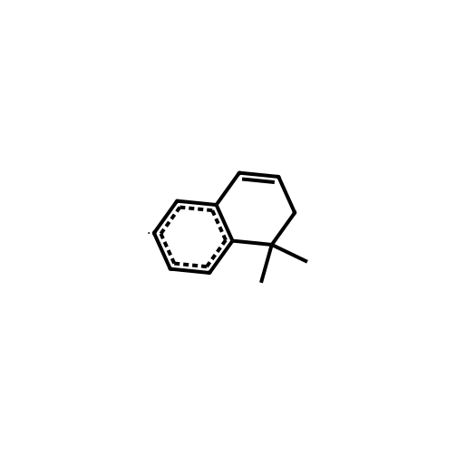 CC1(C)CC=Cc2c[c]ccc21